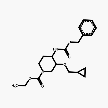 CCOC(=O)N1CCC(NC(=O)OCc2ccccc2)C(OCC2CC2)C1